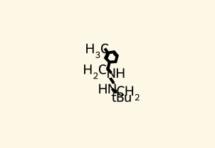 C=C(NCCNC(=C)C(C)(C)C)C1C=C(C)C=CC1